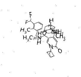 Cc1c(C(F)F)cccc1[C@@H](C)NC(=O)c1cn(C23CC(C2)C3)c(=O)cc1N[C@@H]1[C@@H]2C[C@H]1CN(C)C2